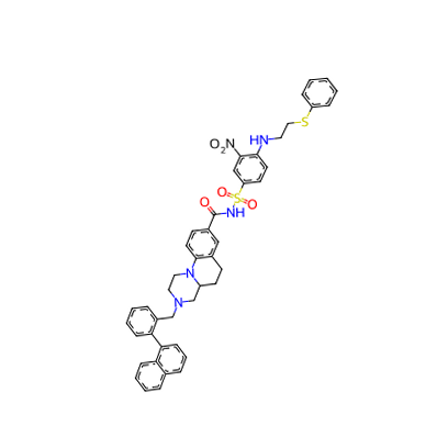 O=C(NS(=O)(=O)c1ccc(NCCSc2ccccc2)c([N+](=O)[O-])c1)c1ccc2c(c1)CCC1CN(Cc3ccccc3-c3cccc4ccccc34)CCN21